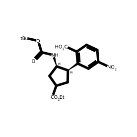 CCOC(=O)C1C[C@H](c2cc([N+](=O)[O-])ccc2C(=O)O)[C@H](NC(=O)OC(C)(C)C)C1